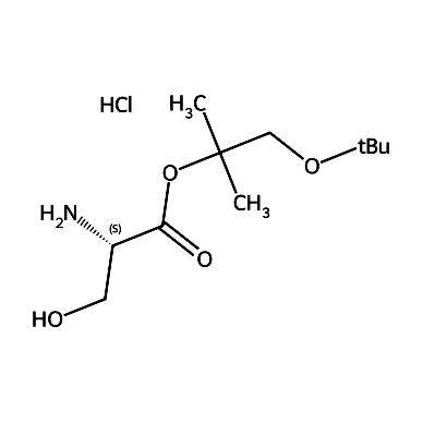 CC(C)(C)OCC(C)(C)OC(=O)[C@@H](N)CO.Cl